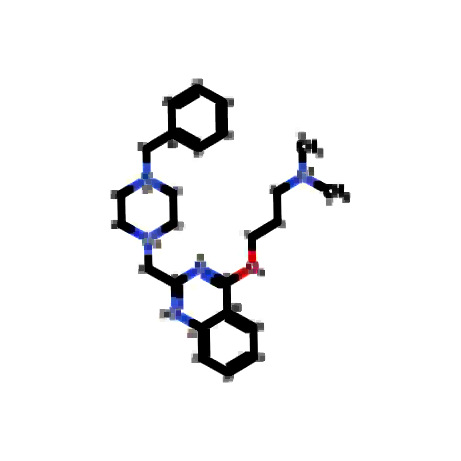 CN(C)CCCOc1nc(CN2CCN(Cc3ccccc3)CC2)nc2ccccc12